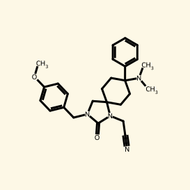 COc1ccc(CN2CC3(CCC(c4ccccc4)(N(C)C)CC3)N(CC#N)C2=O)cc1